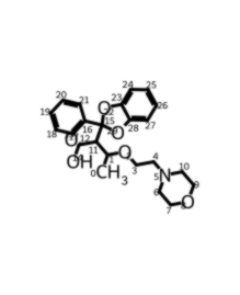 CC(OCCN1CCOCC1)C(C(=O)O)C1(c2ccccc2)Oc2ccccc2O1